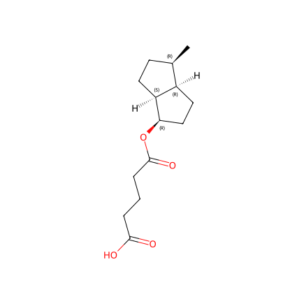 C[C@@H]1CC[C@H]2[C@@H]1CC[C@H]2OC(=O)CCCC(=O)O